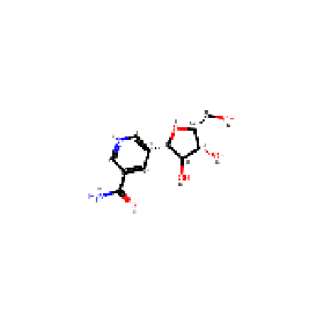 NC(=O)c1cncc([C@@H]2O[C@H](CO)[C@H](O)C2O)c1